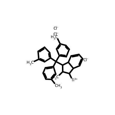 Cc1cccc(C(c2cccc(C)c2)(c2cccc(C)c2)C2C(C)[CH]([Ti+3])C3C=CC=CC32)c1.[Cl-].[Cl-].[Cl-]